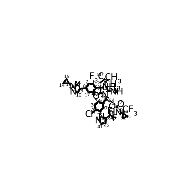 CC(C)(C[C@]1(c2ccc(-c3cnn(C4CC4)n3)cc2)NC(=N)N([C@H](COC(=O)NC2(C(F)(F)F)CC2)c2ccc(Cl)c(-n3nccc3C(F)F)c2)C1=O)C(F)(F)F